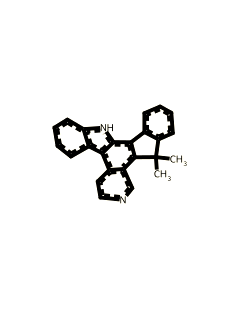 CC1(C)c2ccccc2-c2c1c1cnccc1c1c2[nH]c2ccccc21